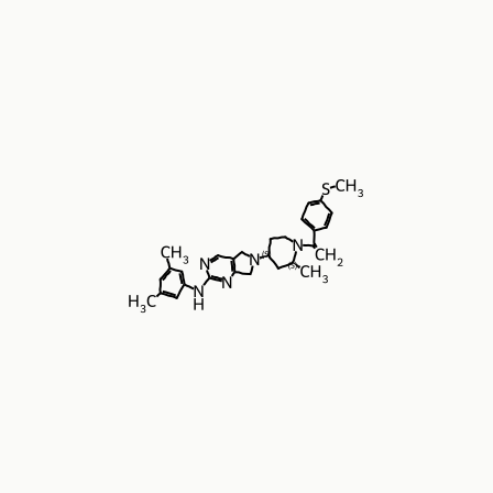 C=C(c1ccc(SC)cc1)N1CC[C@H](N2Cc3cnc(Nc4cc(C)cc(C)c4)nc3C2)C[C@@H]1C